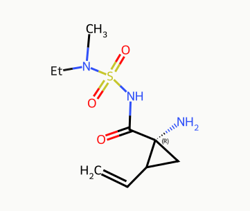 C=CC1C[C@]1(N)C(=O)NS(=O)(=O)N(C)CC